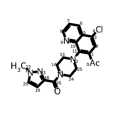 CC(=O)c1cc(Cl)c2cccnc2c1N1CCN(C(=O)c2ccn(C)n2)CC1